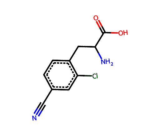 N#Cc1ccc(CC(N)C(=O)O)c(Cl)c1